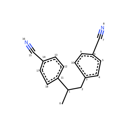 CC(Cc1ccc(C#N)cc1)c1ccc(C#N)cc1